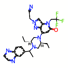 CC[C@H]1CN(C(C)c2ccc3nccnc3c2)[C@H](CC)CN1c1cc(=O)n(CC(F)(F)F)c2cn(CC#N)nc12